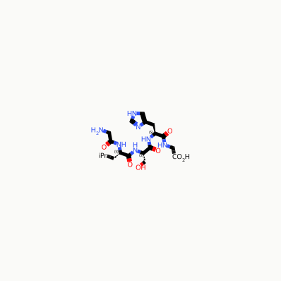 CC(C)C[C@H](NC(=O)CN)C(=O)N[C@@H](CO)C(=O)N[C@@H](Cc1c[nH]cn1)C(=O)NCC(=O)O